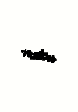 CCC(F)C(=O)OC1CCC(c2ccc(C3CCC(OC(=O)C(F)CC)CC3)c(C#N)c2)CC1